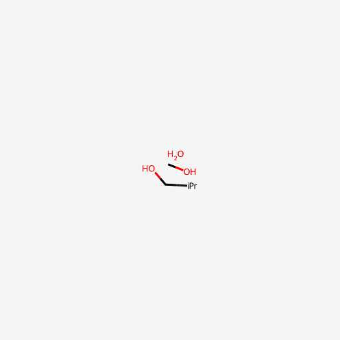 CC(C)CO.CO.O